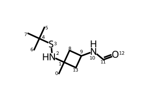 CC1(NSC(C)(C)C)CC(NC=O)C1